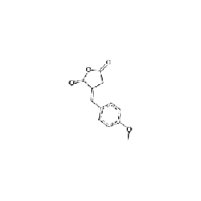 COc1ccc(/C=C2\CC(=O)OC2=O)cc1